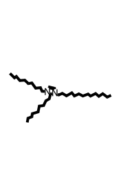 CCCCCCCCCCCCCCN1C=CN(CCCCCCCCCC)C1CCCCCCCCC